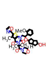 COc1ccccc1C(Cn1c(=O)n(C(C)(C)C(=O)N2CCOCC2)c(=O)c2c(C)c(-c3ncco3)sc21)O[C@H]1CC2C[C@@H](O)C[C@H]2C1